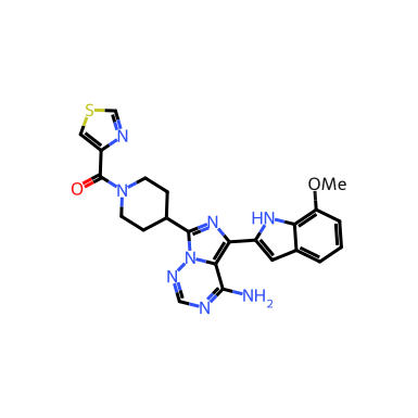 COc1cccc2cc(-c3nc(C4CCN(C(=O)c5cscn5)CC4)n4ncnc(N)c34)[nH]c12